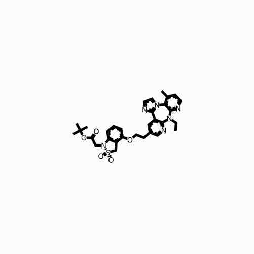 CCN1c2ncc(CCOc3cccc4c3CS(=O)(=O)N4CC(=O)OC(C)(C)C)cc2-c2nccn2-c2c(C)ccnc21